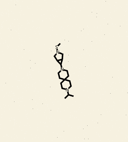 CSN1CC2C(C1)C2N1CCC2(CCN(C(C)C)CC2)CC1